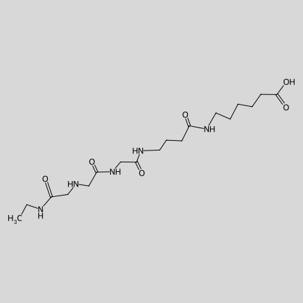 CCNC(=O)CNCC(=O)NCC(=O)NCCCC(=O)NCCCCCC(=O)O